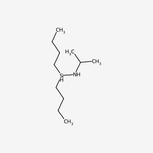 CCCC[SiH](CCCC)NC(C)C